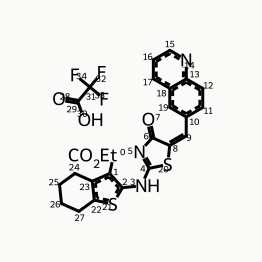 CCOC(=O)c1c(NC2=NC(=O)C(=Cc3ccc4ncccc4c3)S2)sc2c1CCCC2.O=C(O)C(F)(F)F